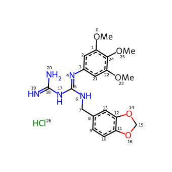 COc1cc(N=C(NCc2ccc3c(c2)OCO3)NC(=N)N)cc(OC)c1OC.Cl